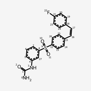 NC(=O)Nc1cccc(S(=O)(=O)c2ccc(/C=C\c3ccc(F)cc3)cc2)c1